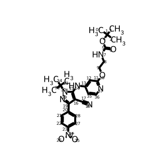 CC(C)(C)OC(=O)NCCOc1cc(Nc2c(C#N)c(-c3ccc([N+](=O)[O-])cc3)nn2C(C)(C)C)ccn1